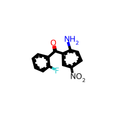 Nc1ccc([N+](=O)[O-])cc1C(=O)c1ccccc1F